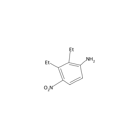 CCc1c(N)ccc([N+](=O)[O-])c1CC